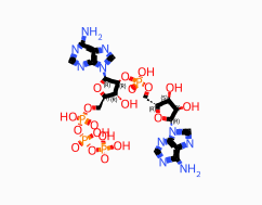 Nc1ncnc2c1ncn2[C@@H]1O[C@H](COP(=O)(O)O[C@@H]2[C@H](O)[C@@H](COP(=O)(O)OP(=O)(O)OP(=O)(O)O)O[C@H]2n2cnc3c(N)ncnc32)[C@@H](O)[C@H]1O